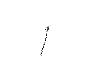 CCCCCCCCCCCCCCCCCCCCCC[CH]OCCC